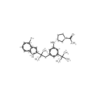 CC(=O)N1CC[C@@H](Nc2cc(CC(C)(C)c3cc4c(F)cccc4[nH]3)cc(C(C)(C)C)c2)C1